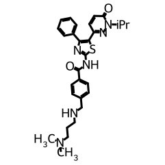 CC(C)n1nc(-c2sc(NC(=O)c3ccc(CNCCCN(C)C)cc3)nc2-c2ccccc2)ccc1=O